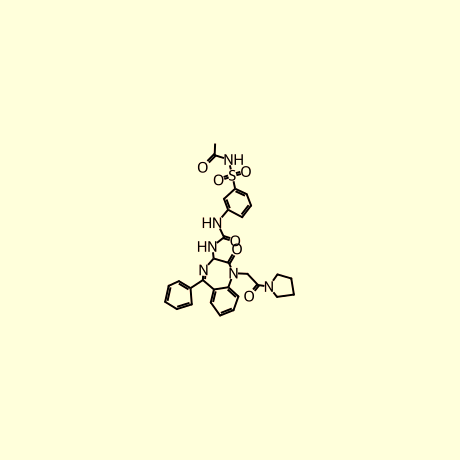 CC(=O)NS(=O)(=O)c1cccc(NC(=O)NC2N=C(c3ccccc3)c3ccccc3N(CC(=O)N3CCCC3)C2=O)c1